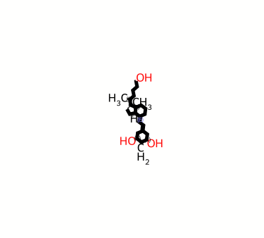 C=C1[C@H](O)CC(=C/C=C2\CCC[C@]3(C)[C@@H]([C@@H](C)CCCCO)CC[C@@H]23)C[C@H]1O